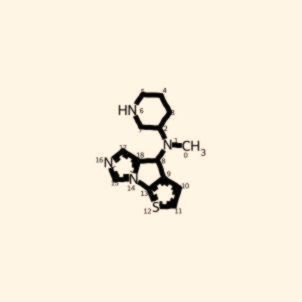 CN(C1CCCNC1)C1c2ccsc2-n2cncc21